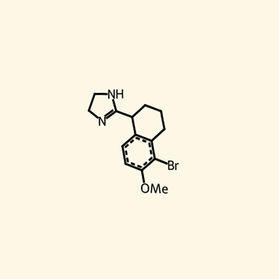 COc1ccc2c(c1Br)CCCC2C1=NCCN1